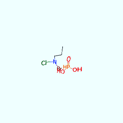 CCCN(Cl)Br.O=[PH](O)O